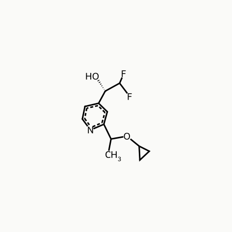 CC(OC1CC1)c1cc([C@H](O)C(F)F)ccn1